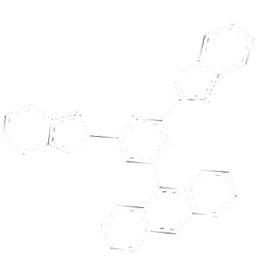 c1ccc2c(-c3cc(-c4nc5ccccc5o4)nc(-c4nc5ccccc5s4)c3)c3ccccc3cc2c1